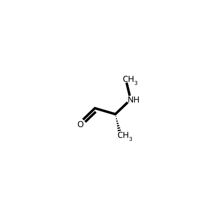 CN[C@H](C)C=O